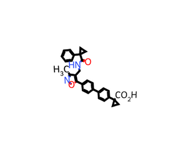 Cc1noc(-c2ccc(-c3ccc(C4(C(=O)O)CC4)cc3)cc2)c1CNC(=O)C1(c2ccccc2)CC1